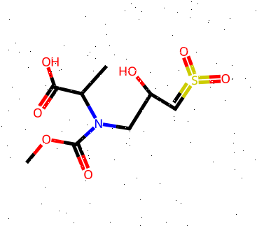 COC(=O)N(CC(O)C=S(=O)=O)C(C)C(=O)O